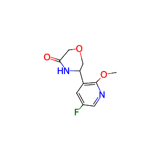 COc1ncc(F)cc1C1COCC(=O)N1